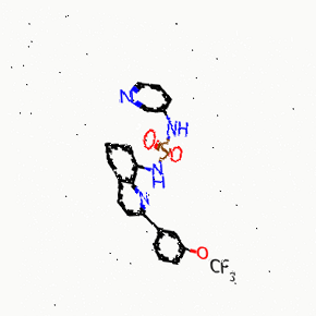 O=S(=O)(Nc1cccnc1)Nc1cccc2ccc(-c3cccc(OC(F)(F)F)c3)nc12